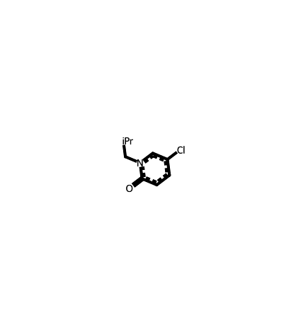 CC(C)Cn1cc(Cl)ccc1=O